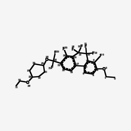 CCOc1ccc2c(c1F)C(F)(F)C(F)(F)c1c-2ccc(C(F)(F)OC2CCC(OCC)CC2)c1F